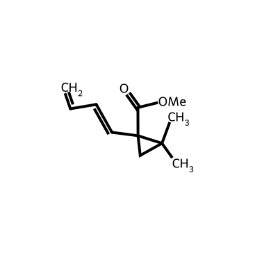 C=CC=CC1(C(=O)OC)CC1(C)C